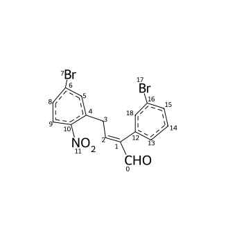 O=CC(=CCc1cc(Br)ccc1[N+](=O)[O-])c1cccc(Br)c1